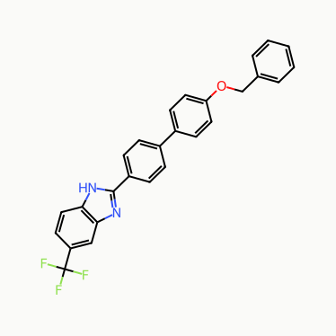 FC(F)(F)c1ccc2[nH]c(-c3ccc(-c4ccc(OCc5ccccc5)cc4)cc3)nc2c1